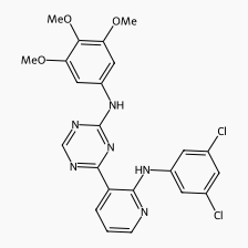 COc1cc(Nc2ncnc(-c3cccnc3Nc3cc(Cl)cc(Cl)c3)n2)cc(OC)c1OC